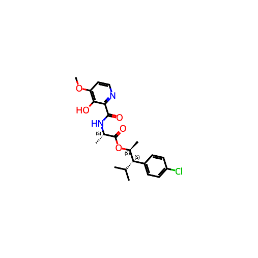 COc1ccnc(C(=O)N[C@@H](C)C(=O)O[C@@H](C)[C@H](c2ccc(Cl)cc2)C(C)C)c1O